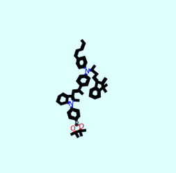 C=C1/C(=C\CC(C)N(c2ccc(/C=C\C=C/C)cc2)c2ccc(/C(C)=C/C3=C(C)N(c4ccc(B5OC(C)(C)C(C)(C)O5)cc4)C4CC=CC=C34)cc2)c2ccccc2C1(C)C